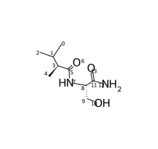 CC(C)[C@H](C)C(=O)N[C@@H](CO)C(N)=O